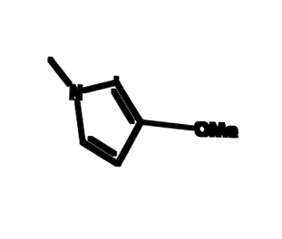 COc1[c]n(C)cc1